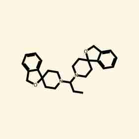 CCC(N1CCC2(CC1)OCc1ccccc12)N1CCC2(CC1)OCc1ccccc12